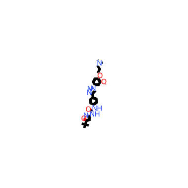 COc1cc(-n2cc(-c3ccc(NC(=O)Nc4cc(C(C)(C)C)on4)cc3)nn2)ccc1OCCCN(C)C